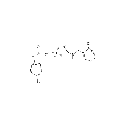 CCc1ccc(NC(=O)OCC(C)(C)N(C)C(=O)NCc2ccccc2Cl)cc1